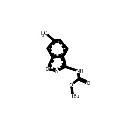 Cc1ccc2c(NC(=O)OC(C)(C)C)noc2c1